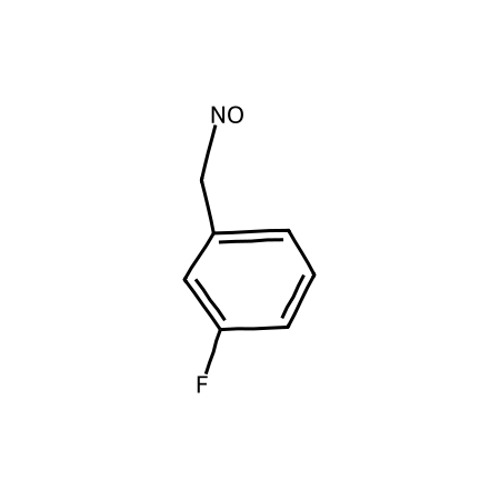 O=NCc1cccc(F)c1